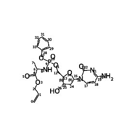 C=CCOC(=O)C(C)NP(=O)(OC[C@H]1O[C@@H](n2ccc(N)nc2=O)C[C@@H]1O)Oc1ccccc1